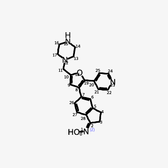 O/N=C1/CCc2cc(-c3cc(CN4CCNCC4)oc3-c3ccncc3)ccc21